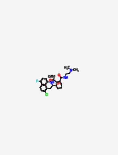 COC(=O)C1=C(C(=O)NCCN(C)C)C2C=CC1(C(Cc1ccccc1Cl)Nc1ccc(F)cc1)O2